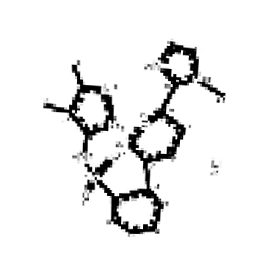 Cc1noc(NS(=O)(=O)c2ccccc2-c2ccc(-c3nccn3C)cc2)c1C.[LiH]